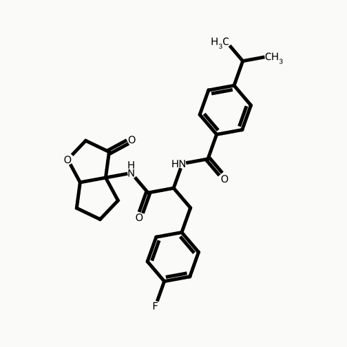 CC(C)c1ccc(C(=O)NC(Cc2ccc(F)cc2)C(=O)NC23CCCC2OCC3=O)cc1